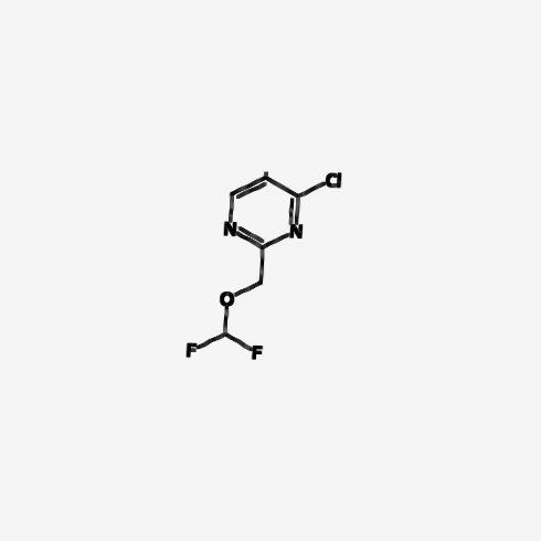 FC(F)OCc1nc[c]c(Cl)n1